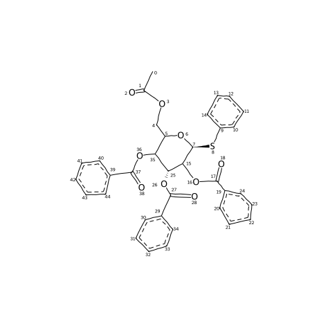 CC(=O)OCC1O[C@@H](Sc2ccccc2)C(OC(=O)c2ccccc2)[C@H](OC(=O)c2ccccc2)C1OC(=O)c1ccccc1